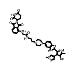 CC(=O)c1c(C)[nH]c(-c2nc3ccc(N4CCN(CCNC(=O)CNc5cccc6c5C(=O)N(C5CCC(=O)NC5=O)C6=O)CC4)cc3[nH]2)c1-c1cnn(C)c1